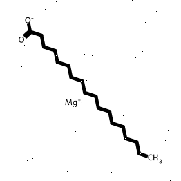 CCCCCCCCCCCCCCCCCC(=O)[O-].[Mg+]